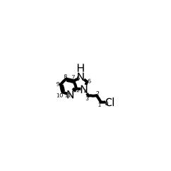 ClCCCN1CNc2cccnc21